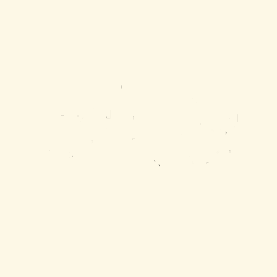 C[C@H](NCCCP(=O)(O)CC1CCCCC1)c1ccc(Cl)c(Cl)c1